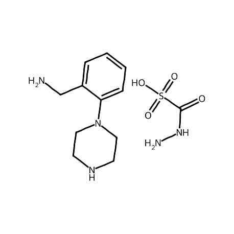 NCc1ccccc1N1CCNCC1.NNC(=O)S(=O)(=O)O